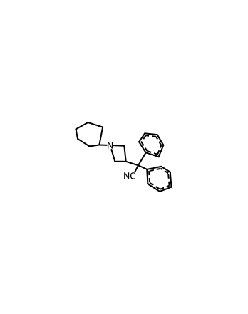 N#CC(c1ccccc1)(c1ccccc1)C1CN(C2CCCCC2)C1